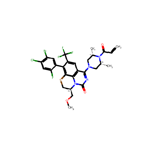 C=CC(=O)N1[C@H](C)CN(c2nc(=O)n3c4c(c(-c5cc(Br)c(Cl)cc5F)c(C(F)(F)F)cc24)SC[C@@H]3COC)C[C@@H]1C